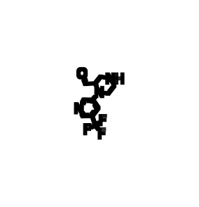 O=CC1CNCCN1c1cncc(C(F)(F)F)c1